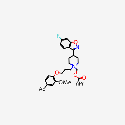 CCCC(=O)OC[N+]1(CCCOc2ccc(C(C)=O)cc2OC)CCC(c2noc3cc(F)ccc23)CC1